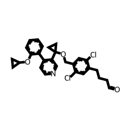 O=CCCCc1cc(Cl)c(COC2(c3cnccc3-c3ccccc3OC3CC3)CC2)cc1Cl